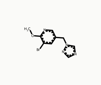 COc1ncc(Cn2cncn2)cc1Br